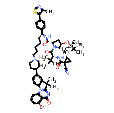 Cc1ncsc1-c1ccc([C@H](CCCCCN2CCC(c3ccc4c(c3)C(C)(C)c3nc(=O)c5c(Br)cccc5n3-4)CC2)NC(=O)[C@@H]2C[C@@H](O[Si](C)(C)C(C)(C)C)CN2C(=O)[C@@H](NC(=O)C2(C#N)CC2)C(C)(C)C)cc1